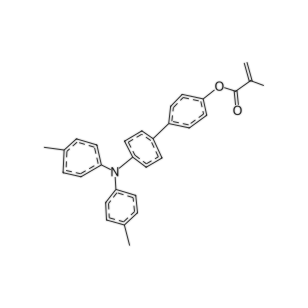 C=C(C)C(=O)Oc1ccc(-c2ccc(N(c3ccc(C)cc3)c3ccc(C)cc3)cc2)cc1